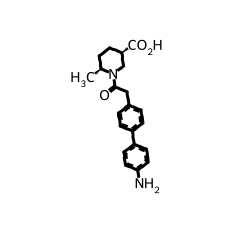 C[C@H]1CC[C@@H](C(=O)O)CN1C(=O)Cc1ccc(-c2ccc(N)cc2)cc1